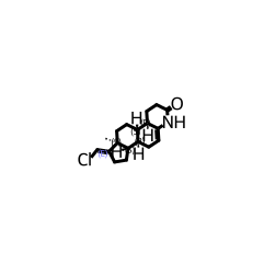 C[C@]12CC[C@H]3[C@@H](CC=C4NC(=O)CC[C@@H]43)[C@@H]1CC/C2=C\Cl